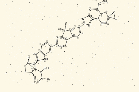 CC(C)[C@H](N)C(O)N1[C@@H]2CC[C@@H](C2)[C@H]1c1nc2ccc(-c3ccc4c(c3)C(F)(F)c3cc(-c5c[nH]c([C@@H]6C#CC7(CC7)CN6C(=O)[C@@H](N)C(C)C)n5)ccc3-4)cc2[nH]1